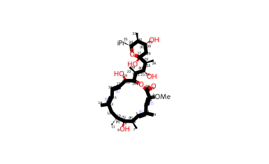 CO/C1=C\C(C)=C\[C@@H](C)[C@@H](O)[C@H](C)C/C(C)=C/C=C/[C@@H](O)C([C@@H](C)[C@@H](O)[C@H](C)[C@@]2(O)C[C@@H](O)[C@H](C)[C@@H](C(C)C)O2)OC1=O